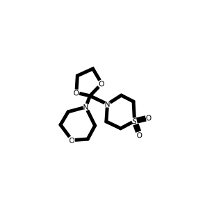 O=S1(=O)CCN(C2(N3CCOCC3)OCCO2)CC1